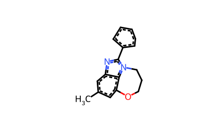 Cc1cc2c3c(c1)nc(-c1ccccc1)n3CCCO2